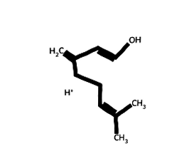 C=C(C=CO)CCC=C(C)C.[H+]